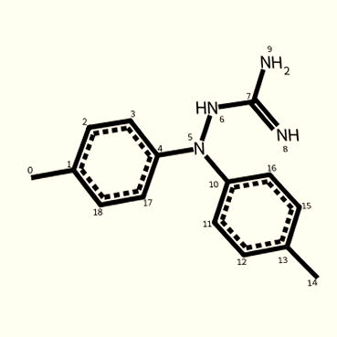 Cc1ccc(N(NC(=N)N)c2ccc(C)cc2)cc1